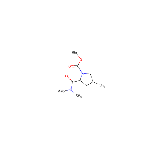 CON(C)C(=O)C1CC(C)CN1C(=O)OC(C)(C)C